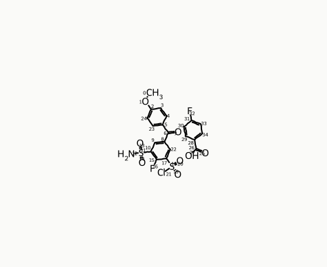 COc1ccc(C(=O)c2cc(S(N)(=O)=O)c(F)c(S(=O)(=O)Cl)c2)cc1.O=C(O)c1ccc(F)cc1